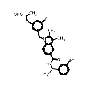 Cc1c(C)n(Cc2cc(F)cc(O[C@@H](C)C=O)c2)c2ccc(C(=O)N[C@@H](C)c3cccc(C(C)C)c3)cc12